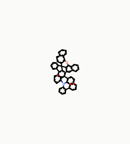 c1ccc(-c2ccccc2N(c2ccccc2)c2ccccc2-c2ccc3c(c2)C2(c4ccccc4-3)c3ccc4ccccc4c3Oc3c2ccc2ccccc32)cc1